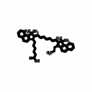 CCC[N+]1=C(/C=C/C=C/C=C/C=C2\C(CCCCCC(=O)O)c3ccc4ccccc4c3C2(C)C)C(C)(C)c2c1ccc1ccccc21